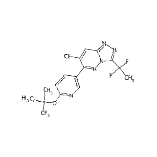 CC(F)(F)c1nnc2cc(Cl)c(-c3ccc(OC(C)(C)C(F)(F)F)nc3)nn12